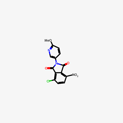 COc1ccc(N2C(=O)c3c(Cl)ccc([N+](=O)[O-])c3C2=O)cn1